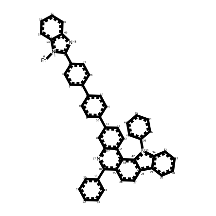 CCn1c(-c2ccc(-c3ccc(-c4ccc5c(c4)nc(-c4ccccc4)c4ccc6c7ccccc7n(-c7ccccc7)c6c45)cc3)cc2)nc2ccccc21